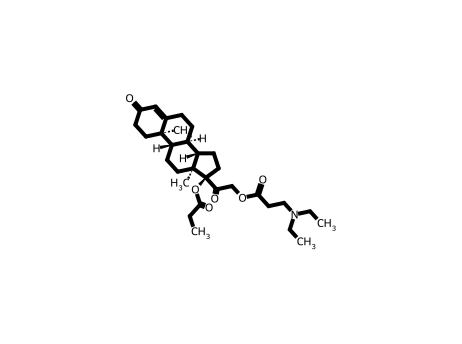 CCC(=O)O[C@]1(C(=O)COC(=O)CCN(CC)CC)CC[C@H]2[C@@H]3CCC4=CC(=O)CC[C@]4(C)[C@H]3CC[C@@]21C